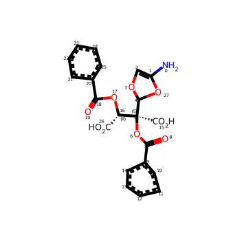 NC1=COC([C@](OC(=O)c2ccccc2)(C(=O)O)[C@@H](OC(=O)c2ccccc2)C(=O)O)O1